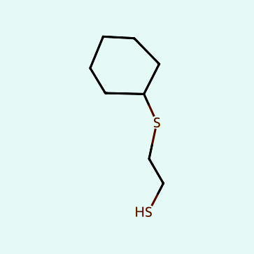 SCCSC1CCCCC1